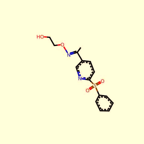 CC(=NOCCO)c1ccc(S(=O)(=O)c2ccccc2)nc1